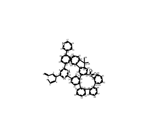 C=C/C=C(\C=C/C)c1cc(-c2ccc(-c3cccnc3)cc2)nc(-c2ccc3c(c2)-c2cc4c(cc2S(=O)(=O)c2ccccc2-c2ccccc2-c2ccccc2-3)C(C)(C)c2ccccc2-4)n1